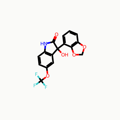 O=C1Nc2ccc(OC(F)(F)F)cc2C1(O)c1cccc2c1OCO2